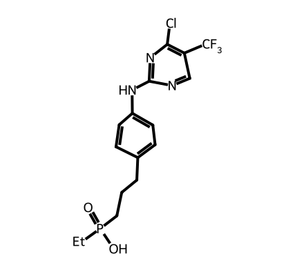 CCP(=O)(O)CCCc1ccc(Nc2ncc(C(F)(F)F)c(Cl)n2)cc1